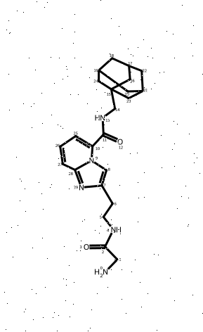 NCC(=O)NCCc1cn2c(C(=O)NCC34CC5CC(CC(C5)C3)C4)cccc2n1